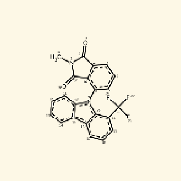 CN1C(=O)c2cccc(-n3c4ccccc4c4cccc(C(F)(F)F)c43)c2C1=O